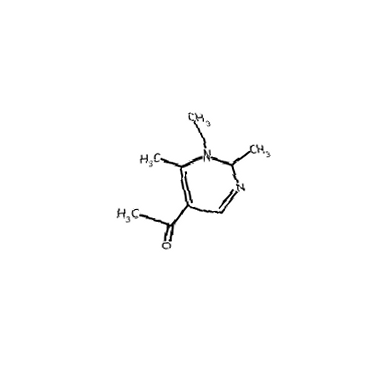 CC(=O)C1=C(C)N(C)C(C)N=C1